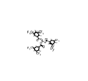 O=C(OB(OC(=O)c1cc(C(F)(F)F)cc(C(F)(F)F)c1)OC(=O)c1cc(C(F)(F)F)cc(C(F)(F)F)c1)c1cc(C(F)(F)F)cc(C(F)(F)F)c1